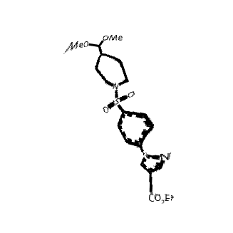 CCOC(=O)c1cnn(-c2ccc(S(=O)(=O)N3CCC(C(OC)OC)CC3)cc2)c1